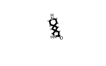 O=C1CC2(CN1)CC1(CCNCC1)C2